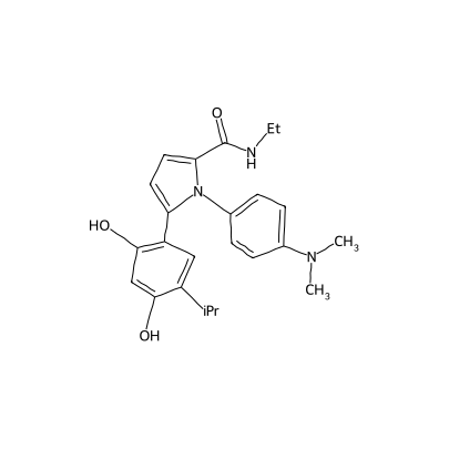 CCNC(=O)c1ccc(-c2cc(C(C)C)c(O)cc2O)n1-c1ccc(N(C)C)cc1